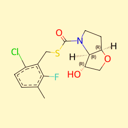 Cc1ccc(Cl)c(CSC(=O)N2CC[C@H]3OC[C@H](O)[C@H]32)c1F